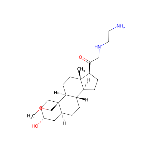 COC[C@]12CC[C@@H](O)C[C@@H]1CC[C@H]1[C@@H]3CC[C@H](C(=O)CNCCN)[C@@]3(C)CC[C@@H]12